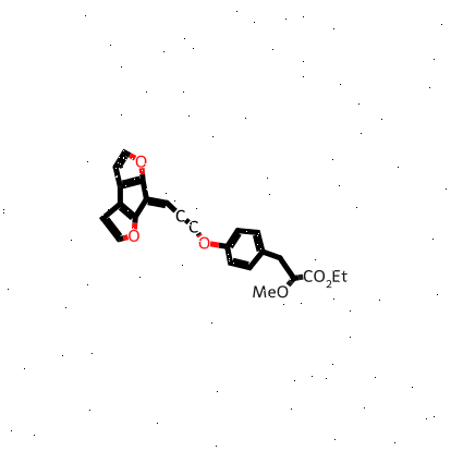 CCOC(=O)C(Cc1ccc(OCCC=C2c3occc3-c3ccoc32)cc1)OC